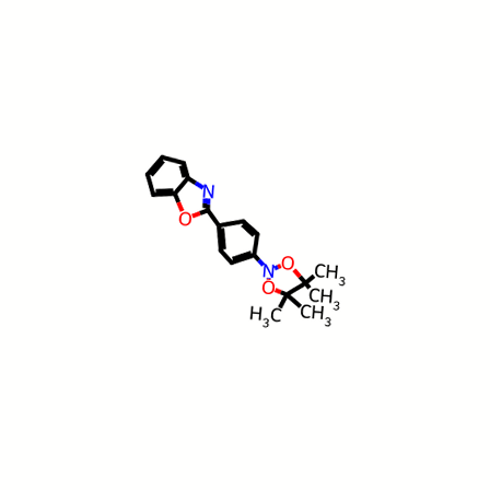 CC1(C)ON(c2ccc(-c3nc4ccccc4o3)cc2)OC1(C)C